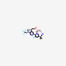 CO[n+]1cc(C2(C#N)CC2)cc(F)c1-c1cc(/C=C\C=O)c(N(C)CC(F)(F)F)cn1